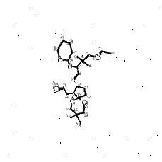 CCOCC(C)(C)C(C=C[C@@H]1CCC2(OCC(C)(C)CO2)C1CC=O)OC1CCCCO1